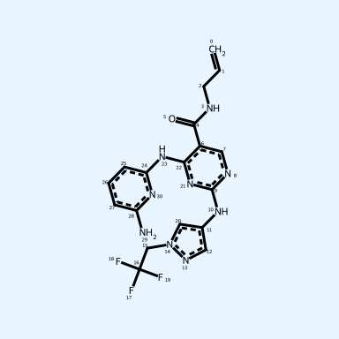 C=CCNC(=O)c1cnc(Nc2cnn(CC(F)(F)F)c2)nc1Nc1cccc(N)n1